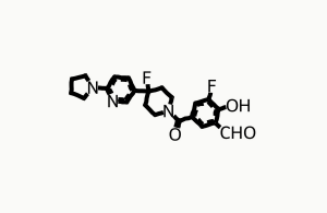 O=Cc1cc(C(=O)N2CCC(F)(c3ccc(N4CCCC4)nc3)CC2)cc(F)c1O